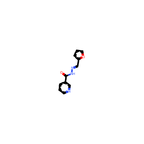 O=C(NN=Cc1ccco1)c1cccnc1